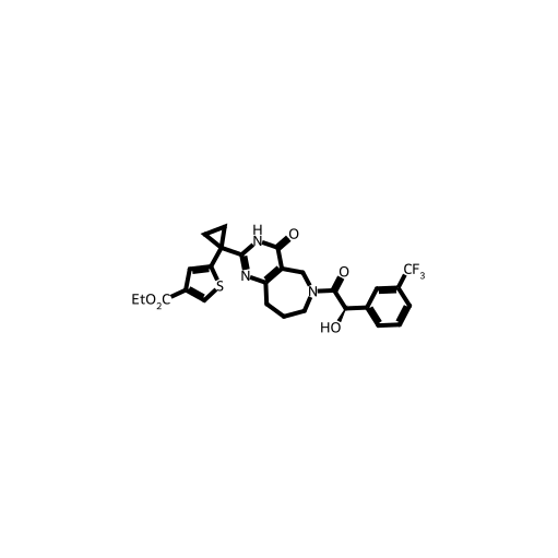 CCOC(=O)c1csc(C2(c3nc4c(c(=O)[nH]3)CN(C(=O)[C@H](O)c3cccc(C(F)(F)F)c3)CCC4)CC2)c1